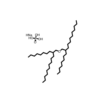 CCCCCCCCCCC(CCCCCCCC)COCC(CCCCCCCC)CCCCCCCCCC.O=P(O)(O)O.[NaH]